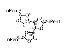 CCCCCC1O[C@H]([C@@H]2COC(CCCCC)O2)[C@@H]([C@H]2COC(CCCCC)O2)O1